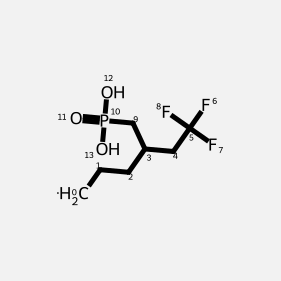 [CH2]CCC(CC(F)(F)F)CP(=O)(O)O